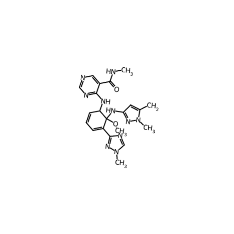 CNC(=O)c1cncnc1NC1C=CC=C(c2ncn(C)n2)C1(Nc1cc(C)n(C)n1)OC